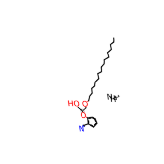 CCCCCCCCCCCCCCCCCCOC[C@H](CO)Oc1ccccc1C#N.[H-].[Na+]